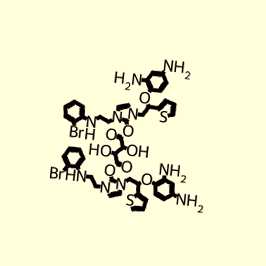 Nc1ccc(OC(CN2C=CN(CCNc3ccccc3Br)C2OC(=O)C(O)C(O)C(=O)OC2N(CCNc3ccccc3Br)C=CN2CC(Oc2ccc(N)cc2N)c2cccs2)c2cccs2)c(N)c1